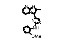 COc1ccccc1Nc1nc(-c2c(C)nc3ncccn23)cs1